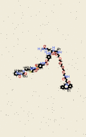 CCCCCCN(C(=O)[C@@H](NC(=O)[C@H]1CCCCN1C)[C@@H](C)CC)[C@H](C[C@@H](OC(C)=O)c1nc(C(=O)NS(=O)(=O)c2ccc(CNC(=O)OCc3ccc(NC(=O)[C@H](CCCNC(N)=O)NC(=O)[C@@H](NC(=O)CCOCCOCCOCCOCCNC(=O)CCC(=O)N4Cc5ccccc5/C=C(/CC)c5ccccc54)C(C)C)cc3)cc2)cs1)C(C)C